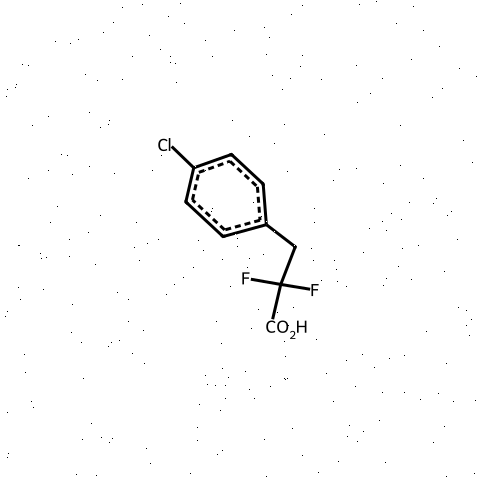 O=C(O)C(F)(F)Cc1ccc(Cl)cc1